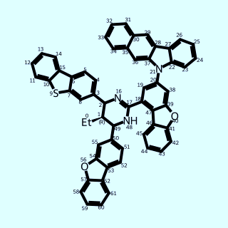 CC[C@H]1C(c2ccc3c(c2)sc2ccccc23)N=C(c2cc(-n3c4ccccc4c4cc5ccccc5cc43)cc3oc4ccccc4c23)NC1c1ccc2c(c1)oc1ccccc12